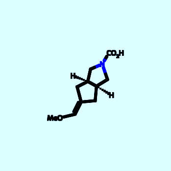 COC=C1C[C@@H]2CN(C(=O)O)C[C@@H]2C1